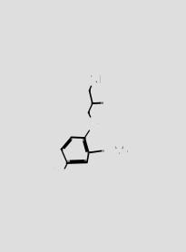 COc1cc(Br)ccc1OCC(O)CN